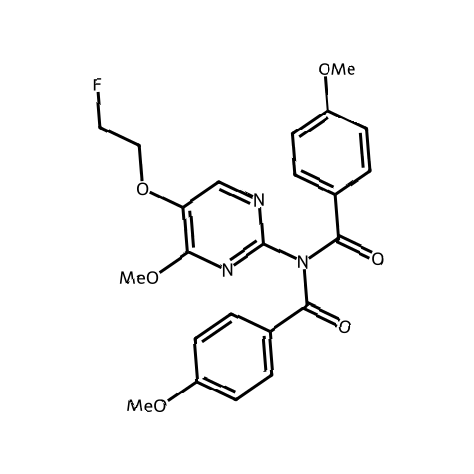 COc1ccc(C(=O)N(C(=O)c2ccc(OC)cc2)c2ncc(OCCF)c(OC)n2)cc1